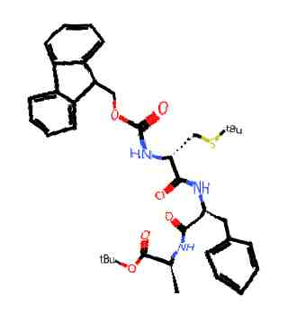 C[C@H](NC(=O)[C@H](Cc1ccccc1)NC(=O)[C@@H](CSC(C)(C)C)NC(=O)OCC1c2ccccc2-c2ccccc21)C(=O)OC(C)(C)C